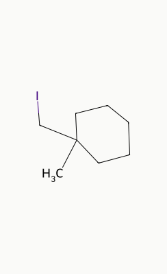 CC1(CI)CCCCC1